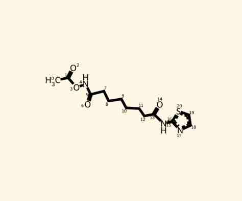 CC(=O)ONC(=O)CCCCCCC(=O)Nc1nccs1